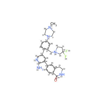 CN1CCN(c2ccc(-c3cnc(N)c(-c4ccc5c(c4)CCNC5=O)c3)c(CN3CCC(F)(F)C3)c2)CC1